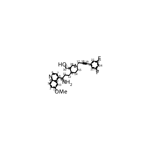 COc1ccc2nccc([C@H](N)CC[C@@H]3CCN(CC#Cc4cc(F)cc(F)c4)C[C@@H]3CO)c2c1